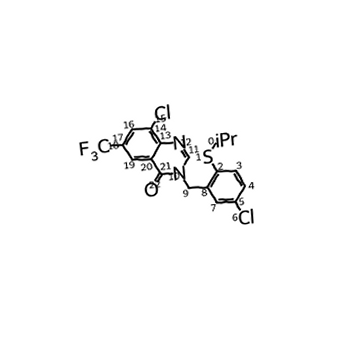 CC(C)Sc1ccc(Cl)cc1Cn1cnc2c(Cl)cc(C(F)(F)F)cc2c1=O